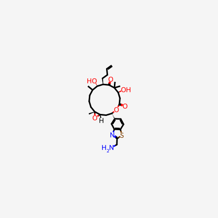 C=CCC[C@H]1C(=O)C(C)(C)[C@@H](O)CC(=O)O[C@H](c2ccc3sc(CN)nc3c2)C[C@@H]2O[C@]2(C)CCCC(C)[C@@H]1O